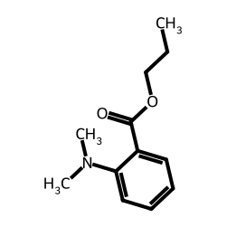 CCCOC(=O)c1ccccc1N(C)C